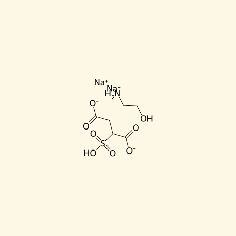 NCCO.O=C([O-])CC(C(=O)[O-])S(=O)(=O)O.[Na+].[Na+]